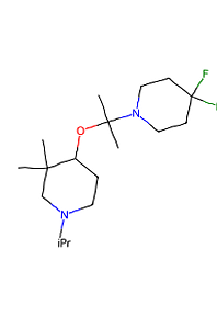 CC(C)N1CCC(OC(C)(C)N2CCC(F)(F)CC2)C(C)(C)C1